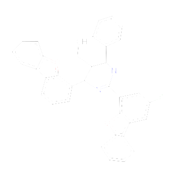 CCC1C(c2ccccc2)=NC(c2cc(Cl)cc3c2oc2ccccc23)=NC1c1cccc2c1oc1ccccc12